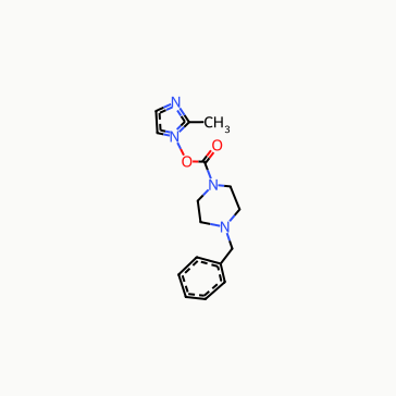 Cc1nccn1OC(=O)N1CCN(Cc2ccccc2)CC1